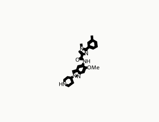 COc1cc2nn(C3CCNCC3)cc2cc1NC(=O)c1cn(C)c(-c2cccc(C)c2)n1